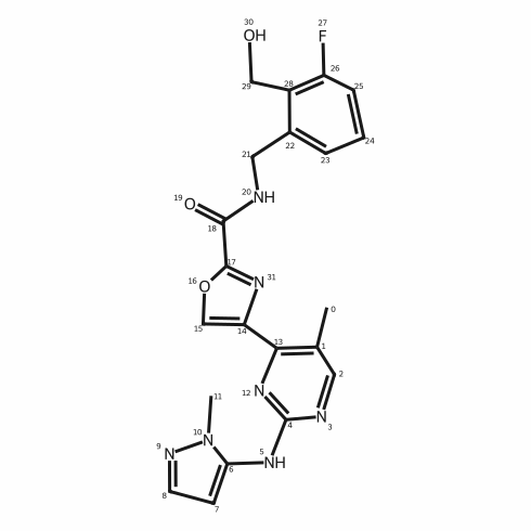 Cc1cnc(Nc2ccnn2C)nc1-c1coc(C(=O)NCc2cccc(F)c2CO)n1